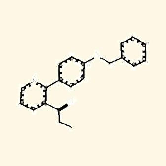 CCC(=O)c1cccnc1-c1ccc(OCc2ccccc2)cc1